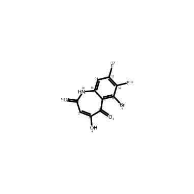 O=c1cc(O)c(=O)c2c(Br)c(F)c(F)cc2[nH]1